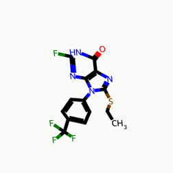 CCSc1nc2c(=O)[nH]c(F)nc2n1-c1ccc(C(F)(F)F)cc1